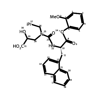 COc1ccccc1OC(=O)[C@H](Cc1cccc2ccccc12)NC(=O)N(CC(C)C)CC(O)C(=O)O